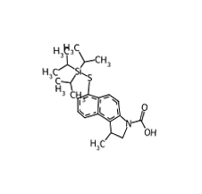 CC1CN(C(=O)O)c2ccc3c(S[Si](C(C)C)(C(C)C)C(C)C)cccc3c21